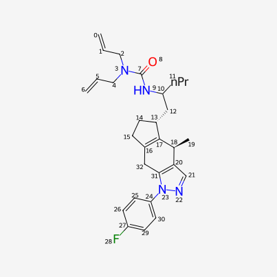 C=CCN(CC=C)C(=O)NC(CCC)C[C@H]1CCC2=C1[C@@H](C)c1cnn(-c3ccc(F)cc3)c1C2